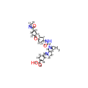 CN(CC(=O)Nc1ccc(Oc2ccc(-c3ncco3)cc2)cc1)C[C@H]1CCCN1Cc1ccc(C(=O)O)cc1